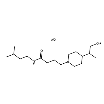 CC(C)CCNC(=O)CCCN1CCC(C(C)CO)CC1.Cl